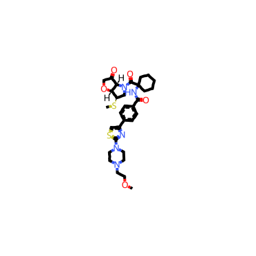 COCCN1CCN(c2nc(-c3ccc(C(=O)NC4(C(=O)N5C[C@H](SC)[C@H]6OCC(=O)[C@H]65)CCCCC4)cc3)cs2)CC1